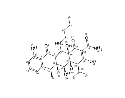 CCCCNC1=C2C(=O)c3c(O)cccc3[C@H](C)[C@H]2[C@H](O)[C@H]2[C@H](N(C)C)C(O)=C(C(N)=O)C(=O)[C@@]12O